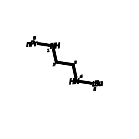 CCCNCCNC(C)(C)C